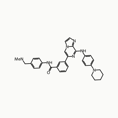 CNCc1ccc(NC(=O)c2cccc(-c3cn4ccnc4c(Nc4ccc(N5CCCCC5)cc4)n3)c2)cc1